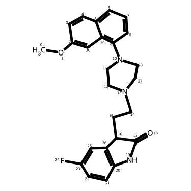 COc1ccc2cccc(N3CCN(CCC4C(=O)Nc5ccc(F)cc54)CC3)c2c1